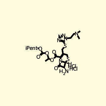 CCCC(C)OC(=O)OC(C)OC(=O)C1=C(CSc2nnnn2CCN(C)C)CS[C@@H]2[C@H](N)C(=O)N12.Cl.Cl